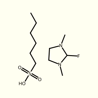 CCCCCCS(=O)(=O)O.CN1CCN(C)C1F